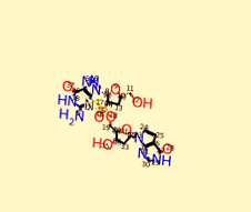 Nc1nc2c(nnn2[C@@H]2O[C@H](CO)C[C@H]2P(=O)(S)OC[C@H]2O[C@@H](n3ccc4c(=O)[nH]cnc43)C[C@@H]2O)c(=O)[nH]1